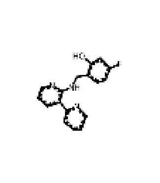 Oc1cc(F)ccc1CNc1ncccc1-c1ccccn1